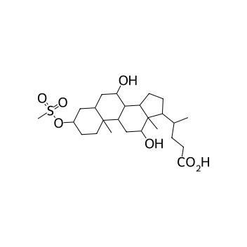 CC(CCC(=O)O)C1CCC2C3C(O)CC4CC(OS(C)(=O)=O)CCC4(C)C3CC(O)C12C